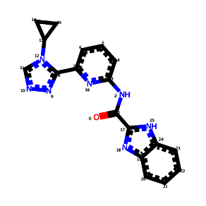 O=C(Nc1cccc(-c2nncn2C2CC2)n1)c1nc2ccccc2[nH]1